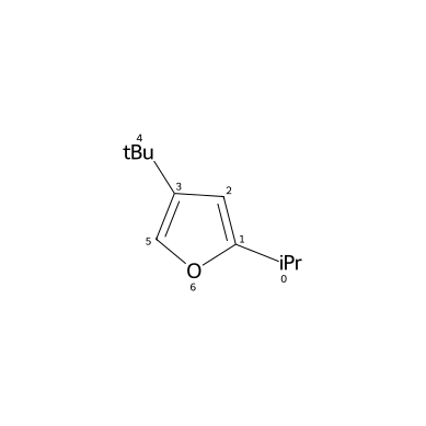 CC(C)c1cc(C(C)(C)C)co1